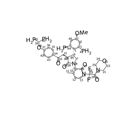 COc1cc(P)c([C@@H]2CN(c3c(C)ccn(C(F)(F)C(=O)N4CCOCC4)c3=O)C(=O)[C@H]2CC(=O)c2ccc(OC(P)P)cc2)c(P)c1